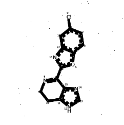 Clc1ccc2oc(C3=NCCc4[nH]cnc43)nc2c1